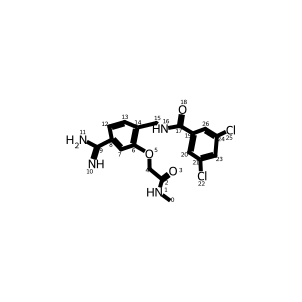 CNC(=O)COc1cc(C(=N)N)ccc1CNC(=O)c1cc(Cl)cc(Cl)c1